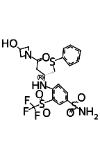 NS(=O)(=O)c1ccc(N[C@@H](CSc2ccccc2)CC(=O)N2CC(O)C2)c(S(=O)(=O)C(F)(F)F)c1